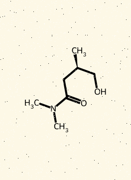 C[C@@H](CO)CC(=O)N(C)C